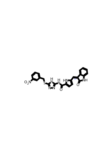 O=C1Nc2ccccc2/C1=C/c1ccc(C(=O)Nc2nnc(SCc3cccc([N+](=O)[O-])c3)[nH]2)[nH]1